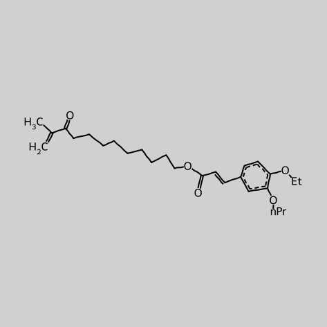 C=C(C)C(=O)CCCCCCCCCOC(=O)/C=C/c1ccc(OCC)c(OCCC)c1